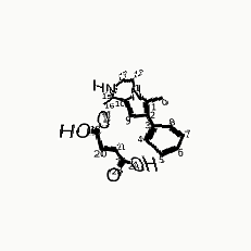 Cc1c(-c2ccccc2)cc2n1CCNC2C.O=C(O)C=CC(=O)O